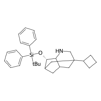 CC(C)(C)[Si](O[C@H]1C2CC3CC(C4CCC4)(CNC31)C2)(c1ccccc1)c1ccccc1